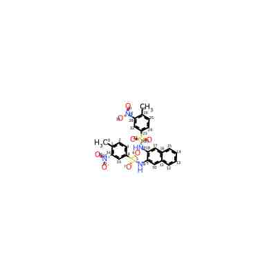 Cc1ccc(S(=O)(=O)Nc2cc3ccccc3cc2NS(=O)(=O)c2ccc(C)c([N+](=O)[O-])c2)cc1[N+](=O)[O-]